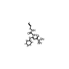 C=CCNC(=O)NC(=NC(=O)N(CCC)CCC)SC1CCCCC1